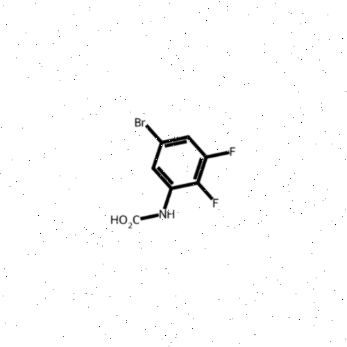 O=C(O)Nc1cc(Br)cc(F)c1F